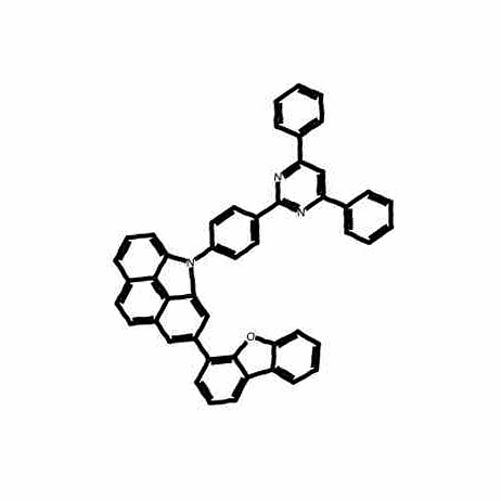 c1ccc(-c2cc(-c3ccccc3)nc(-c3ccc(-n4c5cccc6ccc7cc(-c8cccc9c8oc8ccccc89)cc4c7c65)cc3)n2)cc1